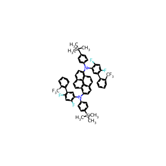 C[Si](C)(C)c1ccc(N(c2cc(-c3ccccc3C(F)(F)F)c(F)cc2F)c2ccc3ccc4c(N(c5ccc([Si](C)(C)C)cc5)c5cc(-c6ccccc6C(F)(F)F)c(F)cc5F)ccc5ccc2c3c54)cc1